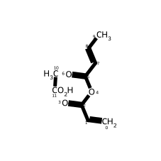 C=CC(=O)OC(=O)C=CC.CC(=O)O